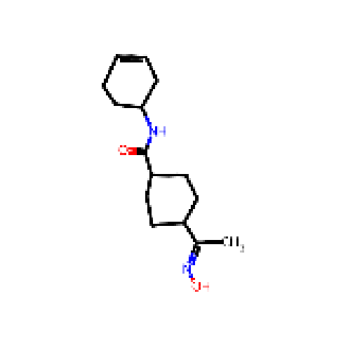 C/C(=N\O)C1CCC(C(=O)NC2CC=CCC2)CC1